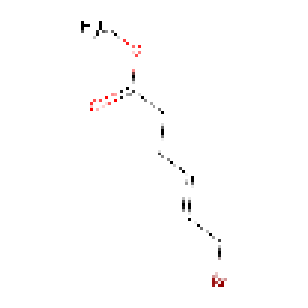 COC(=O)CCC=CCBr